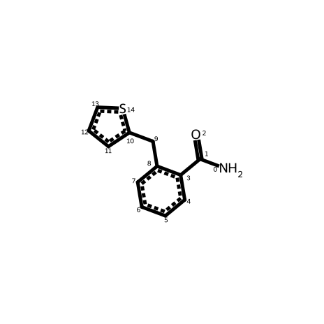 NC(=O)c1ccccc1Cc1cccs1